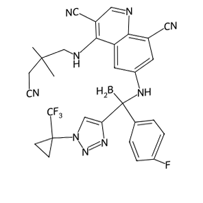 BC(Nc1cc(C#N)c2ncc(C#N)c(NCC(C)(C)CC#N)c2c1)(c1ccc(F)cc1)c1cn(C2(C(F)(F)F)CC2)nn1